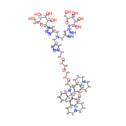 OCC1O[C@H](N2C=C(CN(Cc3cn(CCOCCOCCOCCN4c5ccccc5C45c4cc6c7c(c4Oc4c5cc5c8c4CCCN8CCC5)CCCN7CCC6)nn3)Cc3cn([C@H]4OC(CO)[C@H](O)[C@@H](O)C4O)nn3)NN2)C(O)[C@@H](O)[C@@H]1O